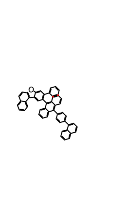 c1ccc(-c2cc3oc4ccc5ccccc5c4c3cc2-c2c3ccccc3c(-c3ccc(-c4cccc5ccccc45)cc3)c3ccccc23)cc1